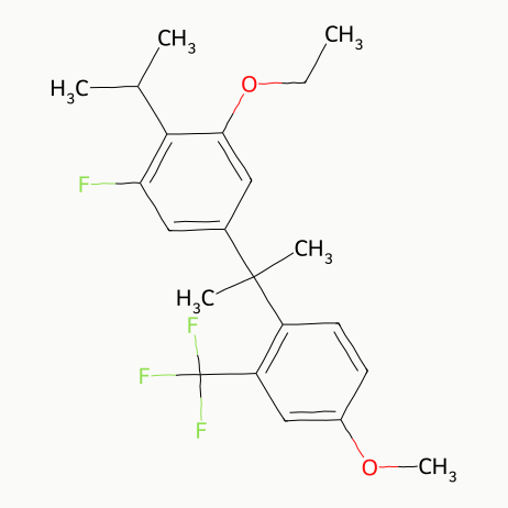 CCOc1cc(C(C)(C)c2ccc(OC)cc2C(F)(F)F)cc(F)c1C(C)C